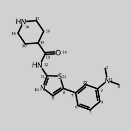 CN(C)c1cccc(-c2cnc(NC(=O)C3CCNCC3)s2)c1